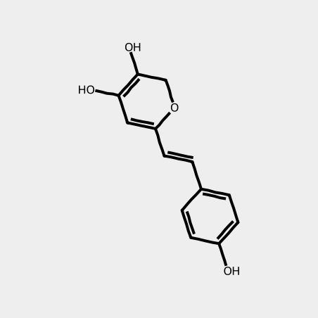 OC1=C(O)COC(/C=C/c2ccc(O)cc2)=C1